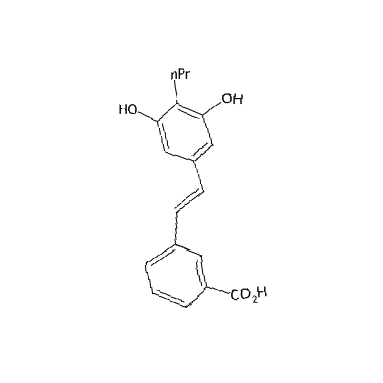 CCCc1c(O)cc(C=Cc2cccc(C(=O)O)c2)cc1O